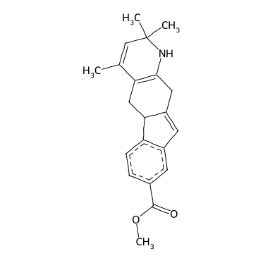 COC(=O)c1ccc2c(c1)C=C1CC3=C(CC12)C(C)=CC(C)(C)N3